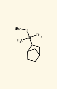 CC(C)(C)O[Si](C)(C)C1CC2CCC1C2